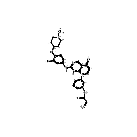 C=CC(=O)Nc1cccc(-n2ccc(=O)c3cnc(Nc4ccc(NC5CCN(C)CC5)c(F)c4)nc32)c1